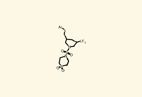 CC(=O)SCC1CC(C(F)(F)F)CN(S(=O)(=O)N2CCS(=O)(=O)CC2)C1